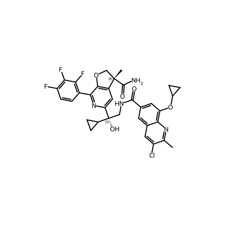 Cc1nc2c(OC3CC3)cc(C(=O)NC[C@](O)(c3cc4c(c(-c5ccc(F)c(F)c5F)n3)OC[C@]4(C)C(N)=O)C3CC3)cc2cc1Cl